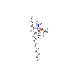 CCCCCCCCC(CCCCCCCC)CC(CCCC)CC(=O)CN(C)C